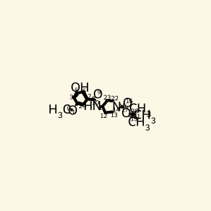 COc1cc(O)cc(C(=O)NC2CCN(C(=O)OC(C)(C)C)CC2)c1